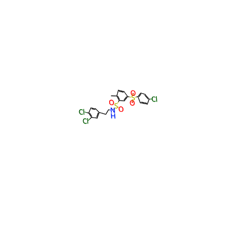 Cc1ccc(S(=O)(=O)c2ccc(Cl)cc2)cc1S(=O)(=O)NCCc1ccc(Cl)c(Cl)c1